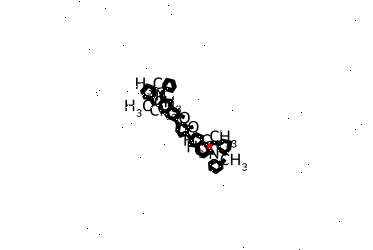 Cc1ccccc1N(c1ccc2cc3c(cc2c1)oc1c3ccc2c3cc4ccc(N(c5ccccc5C)c5ccccc5C(C)(C)C)cc4cc3oc21)c1ccccc1C(C)(C)C